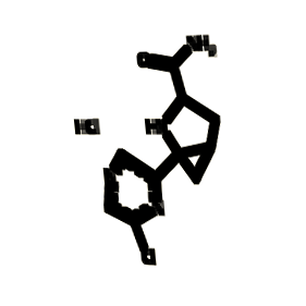 Cl.NC(=O)C1CC2CC2(c2cncc(Cl)n2)N1